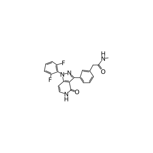 CNC(=O)Cc1cccc(-c2nn(-c3c(F)cccc3F)c3cc[nH]c(=O)c23)c1